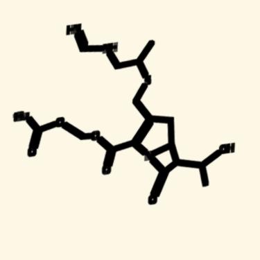 CC(CNC=N)SCC1=C(C(=O)OCOC(=O)C(C)(C)C)N2C(=O)C(C(C)O)C2C1